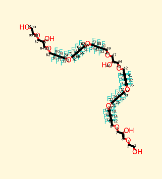 OCCOCC(O)COCC(F)(F)C(F)(F)C(F)(F)OC(F)(F)C(F)(F)C(F)(F)C(F)(F)OC(F)(F)C(F)(F)C(F)(F)COCC(O)COCC(F)(F)C(F)(F)C(F)(F)OC(F)(F)C(F)(F)C(F)(F)C(F)(F)OC(F)(F)C(F)(F)C(F)(F)COCC(O)COCCO